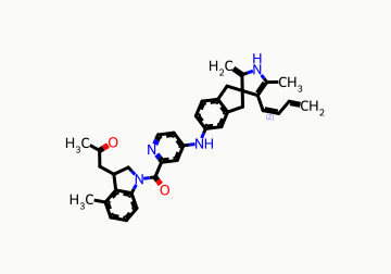 C=C/C=C\C1=C(C)NC(=C)C12Cc1ccc(Nc3ccnc(C(=O)N4CC(CC(C)=O)c5c(C)cccc54)c3)cc1C2